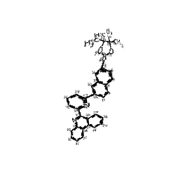 CC1(C)OB(c2ccc3ccc(-c4cccc(-c5nc6ccccc6c6ccccc56)n4)cc3c2)OC1(C)C